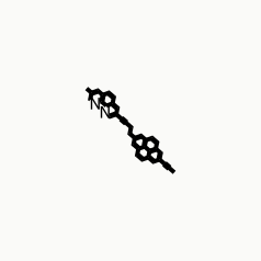 CC#Cc1cc2ccc3cc(CCC#Cc4cnc5c(ccc6cc(C)cnc65)c4)cc4ccc(c1)c2c34